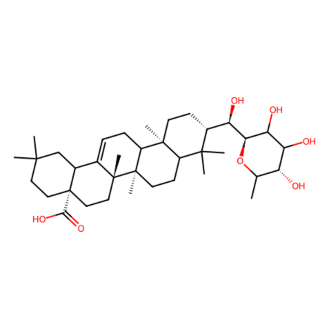 CC1O[C@@H]([C@H](O)[C@H]2CC[C@@]3(C)C(CC[C@]4(C)C3CC=C3C5CC(C)(C)CC[C@]5(C(=O)O)CC[C@]34C)C2(C)C)C(O)C(O)[C@@H]1O